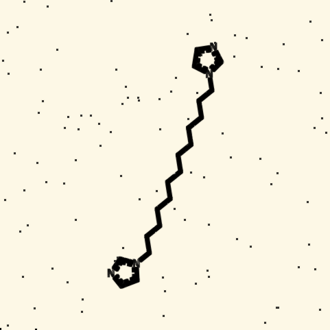 c1cn(CCCCCCCCCCCCCn2ccnc2)cn1